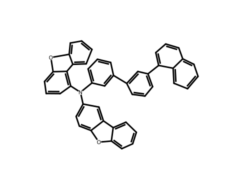 c1cc(-c2cccc(N(c3ccc4oc5ccccc5c4c3)c3cccc4oc5ccccc5c34)c2)cc(-c2cccc3ccccc23)c1